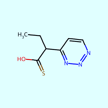 CCC(C(O)=S)c1ccnnn1